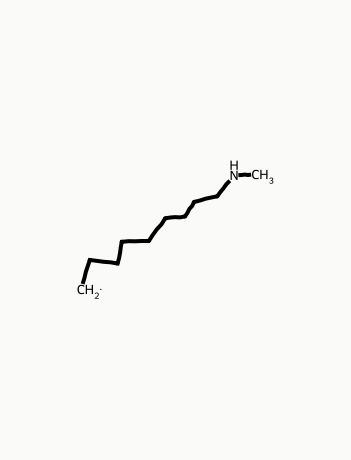 [CH2]CCCCCCCCNC